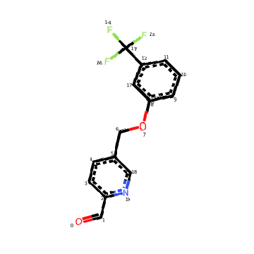 O=Cc1ccc(COc2cccc(C(F)(F)F)c2)cn1